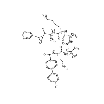 C[C@H](NC(=O)[C@@H](NC(=O)[C@H](CCN)NC(=O)c1ccc(-c2ccc(Cl)cc2)cc1)[C@@H](C)O)C(=O)N[C@@H](CCCCN)C(=O)N[C@@H](C)C(=O)C1OC1c1ccccc1